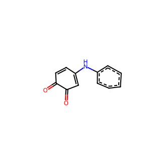 O=C1C=CC(Nc2ccccc2)=CC1=O